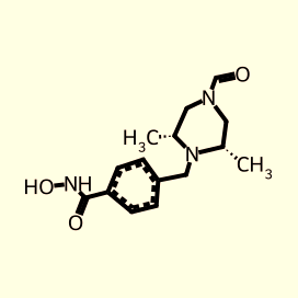 C[C@@H]1CN(C=O)C[C@H](C)N1Cc1ccc(C(=O)NO)cc1